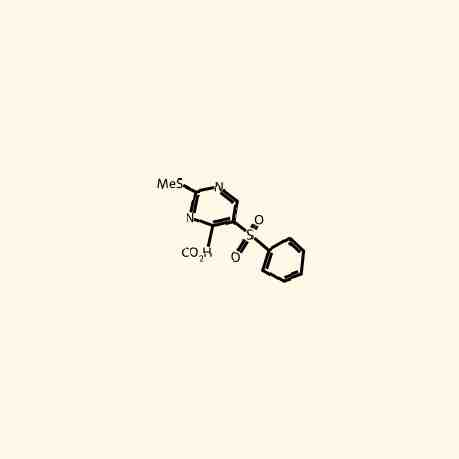 CSc1ncc(S(=O)(=O)c2ccccc2)c(C(=O)O)n1